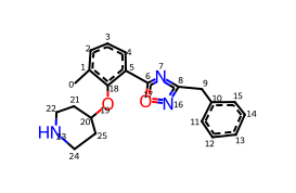 Cc1cccc(-c2nc(Cc3ccccc3)no2)c1OC1CCNCC1